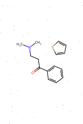 CN(C)CCC(=O)c1ccccc1.c1ccsc1